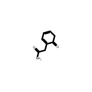 NC(=O)CC1=CC=CCC1=O